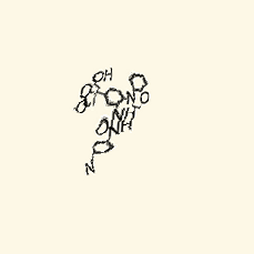 COC[C@](C)(CC(=O)O)c1ccc(N2CCOc3ccccc32)c(NC(=O)Nc2ccc(C#N)cc2)c1